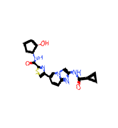 O=C(N[C@H]1CCC[C@@H]1O)c1nc(-c2ccc3nc(NC(=O)C4CC4)cn3c2)cs1